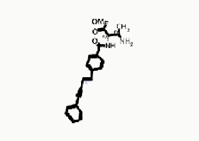 COC(=O)[C@@H](NC(=O)c1ccc(/C=C/C#Cc2ccccc2)cc1)[C@@H](C)N